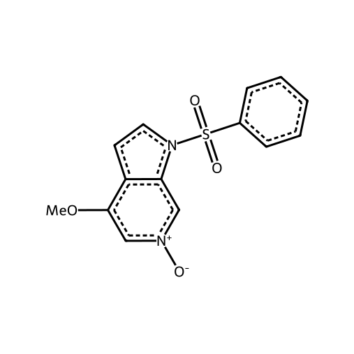 COc1c[n+]([O-])cc2c1ccn2S(=O)(=O)c1ccccc1